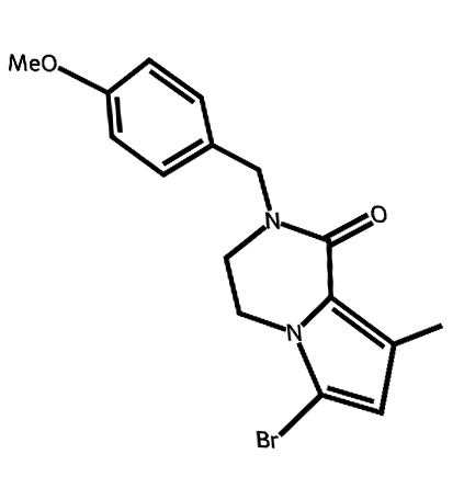 COc1ccc(CN2CCn3c(Br)cc(C)c3C2=O)cc1